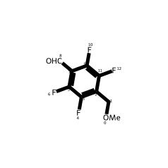 COCc1c(F)c(F)c(C=O)c(F)c1F